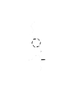 CCOC(=O)[C@H](Cc1ccc(OCCBr)cc1)OCC